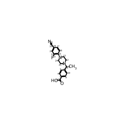 C[C@H](c1ccc(C(=O)O)cc1)N1CCN(c2ccc(C#N)cc2F)CC1